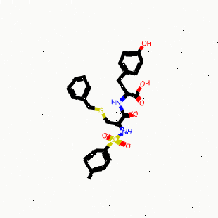 Cc1ccc(S(=O)(=O)NC(CSCc2ccccc2)C(=O)NC(Cc2ccc(O)cc2)C(=O)O)cc1